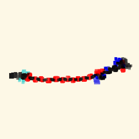 CCCN(OCC)C(=O)C1=Cc2ccc(-c3ccc(C(O)N4CCC[C@@H]4C(=O)NCCOCCOCCOCCOCCOCCOCCOCCOCCOCCOCCC(=O)Oc4c(F)c(F)c(S(=O)(=O)O)c(F)c4F)nc3)cc2N=C(N)C1